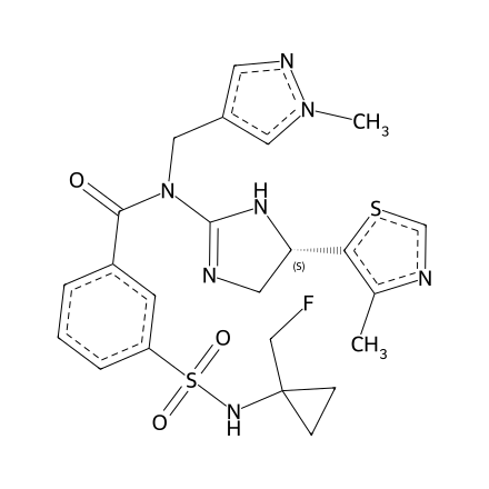 Cc1ncsc1[C@@H]1CN=C(N(Cc2cnn(C)c2)C(=O)c2cccc(S(=O)(=O)NC3(CF)CC3)c2)N1